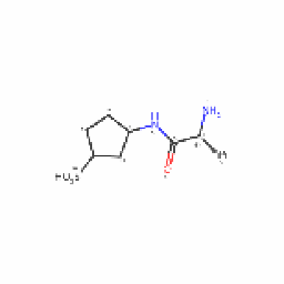 CC(C)[C@H](N)C(=O)NC1CCC(S(=O)(=O)O)C1